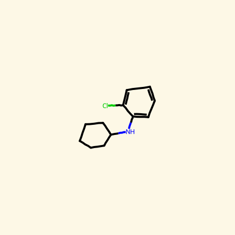 Clc1ccccc1NC1CCCCC1